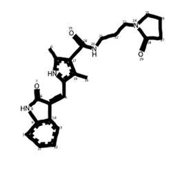 Cc1[nH]c(/C=C2\C(=O)Nc3ccccc32)c(C)c1C(=O)NCCCN1CCCC1=O